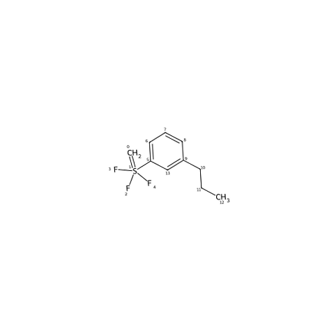 C=S(F)(F)(F)c1cccc(CCC)c1